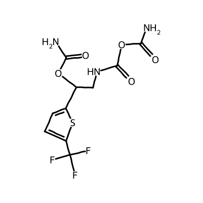 NC(=O)OC(=O)NCC(OC(N)=O)c1ccc(C(F)(F)F)s1